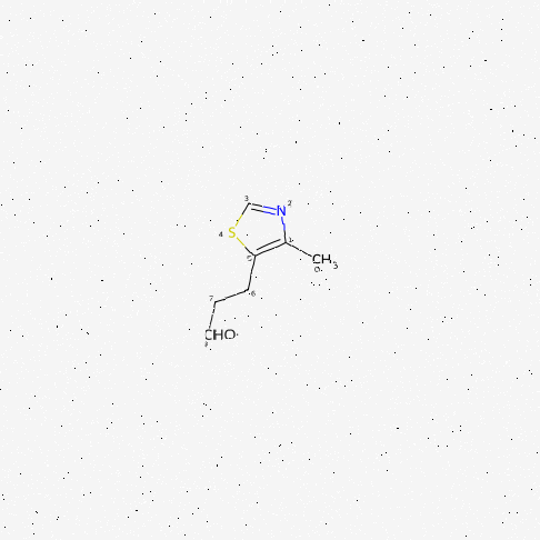 Cc1ncsc1CC[C]=O